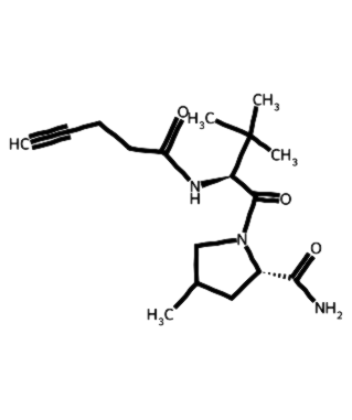 C#CCCC(=O)N[C@H](C(=O)N1CC(C)C[C@H]1C(N)=O)C(C)(C)C